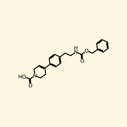 O=C(NCCc1ccc(C2=CCN(C(=O)O)CC2)cc1)OCc1ccccc1